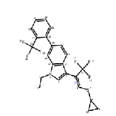 CCn1cc(/C(=C/SC2CC2)C(F)(F)F)c2ccc(-c3ccccc3C(F)(F)F)cc21